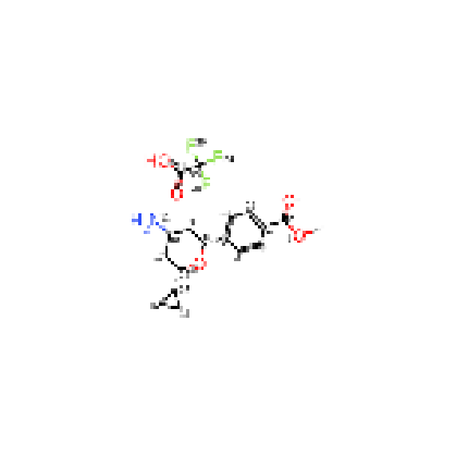 COC(=O)c1ccc([C@H]2CC(N)C[C@@H](C3CC3)O2)cc1.O=C(O)C(F)(F)F